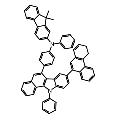 CC1(C)c2ccccc2-c2ccc(N(c3ccccc3)c3ccc(-c4cc5ccccc5c5c4c4cc(-c6cc7c(c8ccccc68)CCC=C7)ccc4n5-c4ccccc4)cc3)cc21